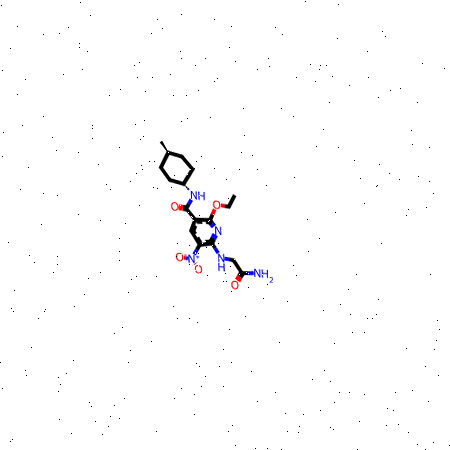 CCOc1nc(NCC(N)=O)c([N+](=O)[O-])cc1C(=O)N[C@H]1CC[C@H](C)CC1